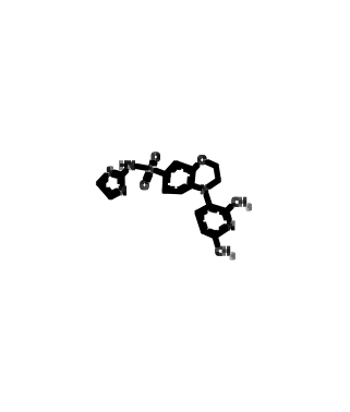 Cc1ccc(N2CCOc3cc(S(=O)(=O)Nc4nccs4)ccc32)c(C)n1